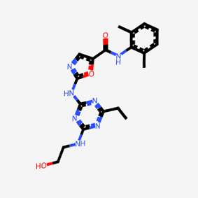 CCc1nc(NCCO)nc(Nc2ncc(C(=O)Nc3c(C)cccc3C)o2)n1